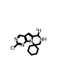 [2H]C1NCC2(CCCCC2)n2c1cc1cnc(Cl)nc12